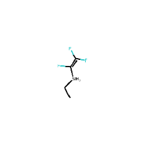 CC[SiH2]C(F)=C(F)F